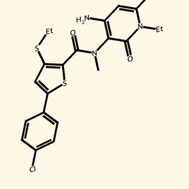 CCSc1cc(-c2ccc(Cl)cc2)sc1C(=O)N(C)c1c(N)cc(C(F)(F)F)n(CC)c1=O